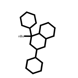 CCCCC1(C2CCCCC2)CC(C2CCCCC2)CC2CCCCC21